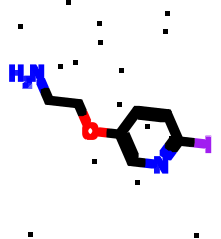 NCCOc1ccc(I)nc1